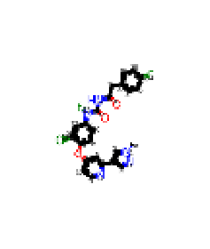 Cn1cc(-c2cc(Oc3ccc(N(F)C(=O)NC(=O)Cc4ccc(F)cc4)cc3Cl)ccn2)cn1